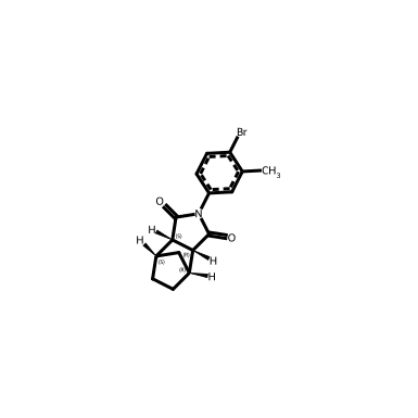 Cc1cc(N2C(=O)[C@@H]3[C@@H]4CC[C@@H](C4)[C@@H]3C2=O)ccc1Br